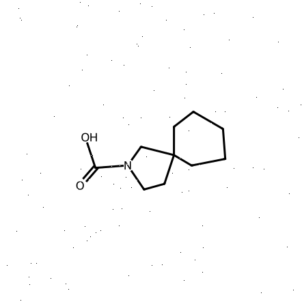 O=C(O)N1CCC2(CCCCC2)C1